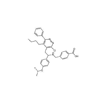 CCCCc1c(-c2ccccc2)nnc(Cl)c1CC(NCc1ccc(C(=O)O)cc1)c1ccc(OC(F)F)cc1